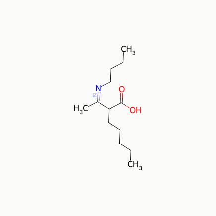 CCCCCC(C(=O)O)/C(C)=N\CCCC